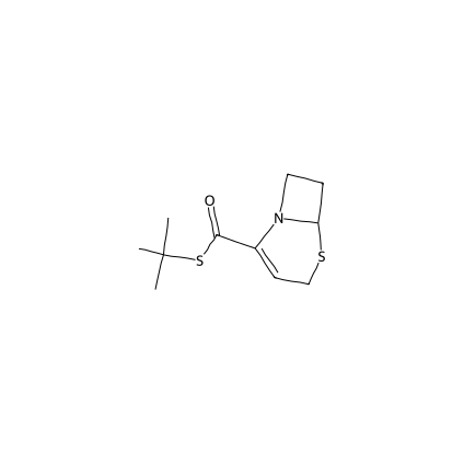 CC(C)(C)SC(=O)C1=CCSC2CCN12